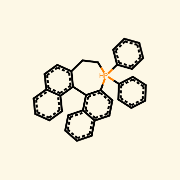 c1ccc([PH]2(c3ccccc3)CCc3ccc4ccccc4c3-c3c2ccc2ccccc32)cc1